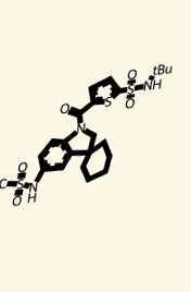 CC(C)(C)NS(=O)(=O)c1ccc(C(=O)N2CC3(CCCCC3)c3cc(NS(C)(=O)=O)ccc32)s1